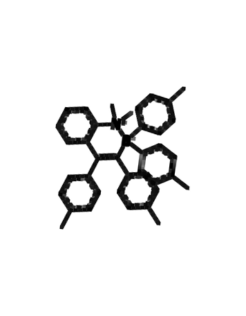 Cc1ccc(C2=C(c3ccc(C)cc3)[B-](c3ccc(C)cc3)(c3ccc(C)cc3)[N+](C)(C)c3ccccc32)cc1